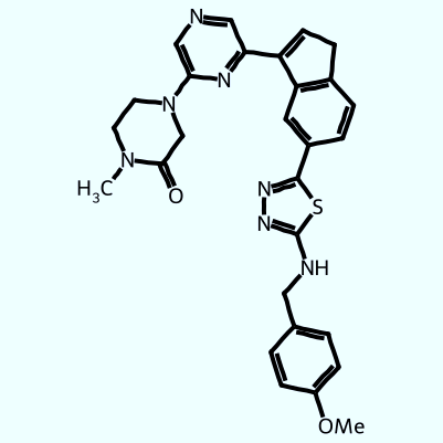 COc1ccc(CNc2nnc(-c3ccc4c(c3)C(c3cncc(N5CCN(C)C(=O)C5)n3)=CC4)s2)cc1